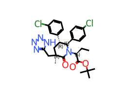 CC[C@@H](C(=O)OC(C)(C)C)N1C(=O)[C@@](C)(Cc2nnn[nH]2)C[C@H](c2cccc(Cl)c2)[C@H]1c1ccc(Cl)cc1